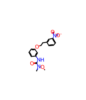 CON(C)C(=O)Nc1cccc(OCCc2cccc([N+](=O)[O-])c2)c1